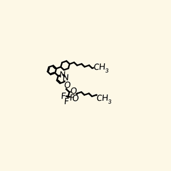 CCCCCCCC1CCC(c2ccccc2-c2ccc(OCC(OC(=O)CCCCCC)C(F)(F)F)nn2)CC1